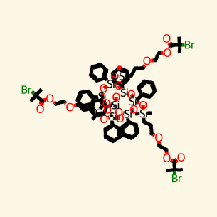 CC(C)(Br)C(=O)OCCOCCC[Si](C)(C)O[Si]1(c2ccccc2)O[Si]2(c3ccccc3)O[Si](O[Si](C)(C)CCCOCCOC(=O)C(C)(C)Br)(c3ccccc3)O[Si]3(c4ccccc4)O[Si](O[Si](C)(C)CCCOCCOC(=O)C(C)(C)Br)(c4ccccc4)O[Si](c4ccccc4)(O1)O[Si](c1ccccc1)(O2)O3